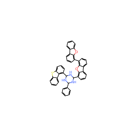 c1ccc(C2NC(c3cccc4c3oc3c(-c5cccc6c5oc5ccccc56)cccc34)NC(c3cccc4sc5ccccc5c34)N2)cc1